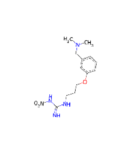 CN(C)Cc1cccc(OCCCNC(=N)N[N+](=O)[O-])c1